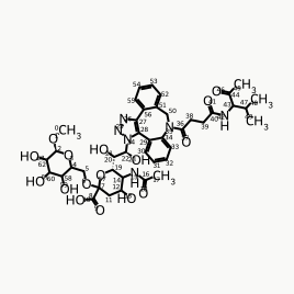 CO[C@H]1OC(COC2(C(=O)O)CC(O)C(NC(C)=O)[C@@H](C(O)[C@H](O)n3nnc4c3-c3ccccc3N(C(=O)CCC(=O)NC(C(C)=O)C(C)C)Cc3ccccc3-4)O2)C(O)C(O)C1O